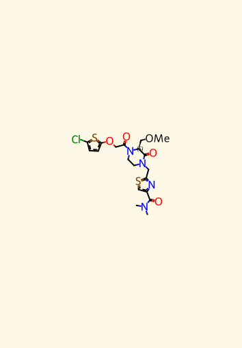 COC[C@H]1C(=O)N(Cc2nc(C(=O)N(C)C)cs2)CCN1C(=O)COc1ccc(Cl)s1